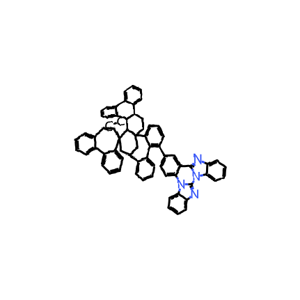 c1ccc2c(c1)-c1ccccc1C13CC2CCC24c5ccccc5-c5ccccc5C2CCC2(CC(C1)c1ccccc1-c1c(-c5ccc6c(c5)c5nc7ccccc7n5c5nc7ccccc7n65)cccc12)C34